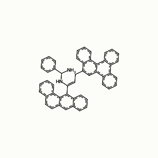 NC(N/C(=C\Cc1cc2c3ccccc3c3ccccc3c2c2ccccc12)c1c2ccccc2cc2ccc3ccccc3c12)c1ccccc1